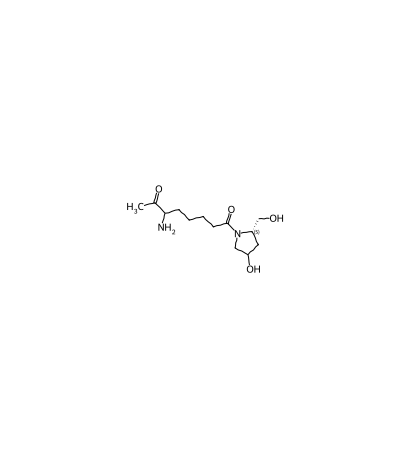 CC(=O)C(N)CCCCC(=O)N1CC(O)C[C@H]1CO